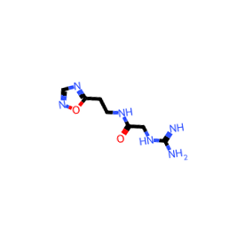 N=C(N)NCC(=O)NCCc1ncno1